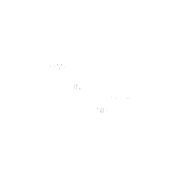 COCC(=O)Nc1ccc(S(=O)(=O)O)c(N)c1